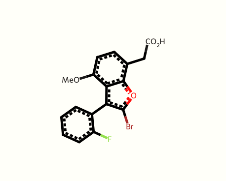 COc1ccc(CC(=O)O)c2oc(Br)c(-c3ccccc3F)c12